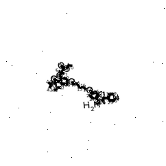 CCOC(=O)C(C)(C)Oc1cc(OCCCCCOc2ccc(/C(N)=N\C(=O)c3ccncc3)cc2)ccc1C(=O)N(C(C)C)C(C)C